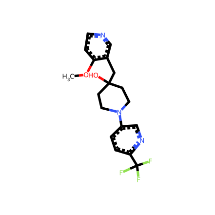 COc1ccncc1CC1(O)CCN(c2ccc(C(F)(F)F)nc2)CC1